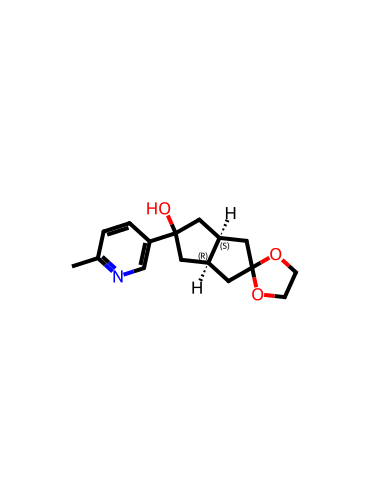 Cc1ccc(C2(O)C[C@H]3CC4(C[C@H]3C2)OCCO4)cn1